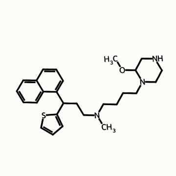 COC1CNCCN1CCCCN(C)CCC(c1cccs1)c1cccc2ccccc12